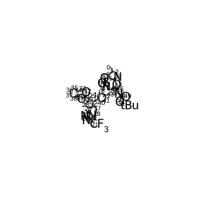 Cc1cnc2c(c1)S(=O)(=O)N(Cc1cc(C(c3ccn4c(C(F)(F)F)nnc4c3C)C(C)(C)C(=O)OCc3ccccc3)ccc1C)CC1(CN(C(=O)OC(C)(C)C)C1)O2